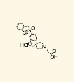 Cl.O=C(O)CCN1CCC2(CC1)COc1cc(S(=O)(=O)Cc3ccccc3Cl)ccc12